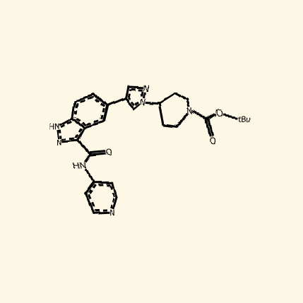 CC(C)(C)OC(=O)N1CCC(n2cc(-c3ccc4[nH]nc(C(=O)Nc5ccncc5)c4c3)cn2)CC1